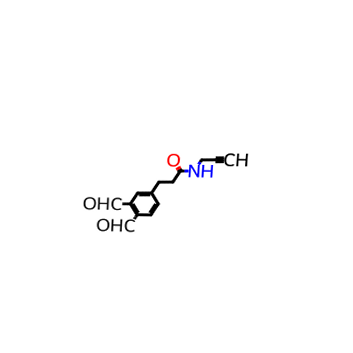 C#CCNC(=O)CCc1ccc(C=O)c(C=O)c1